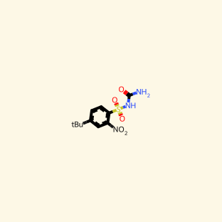 CC(C)(C)c1ccc(S(=O)(=O)NC(N)=O)c([N+](=O)[O-])c1